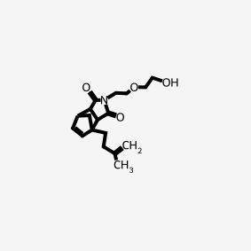 C=C(C)CCC12C=CC(C1)C1C(=O)N(CCOCCO)C(=O)C12